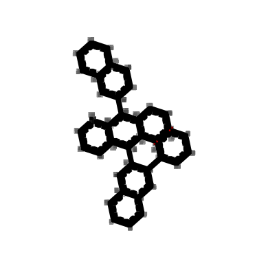 c1ccc(-c2cc3ccccc3cc2-c2c3ccccc3c(-c3ccc4ccccc4c3)c3ncccc23)cc1